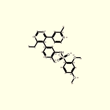 CCc1ncnc(-c2ccnc(C)c2)c1-c1cnc(C)c(NS(=O)(=O)c2ccc(OC)cc2OC)c1